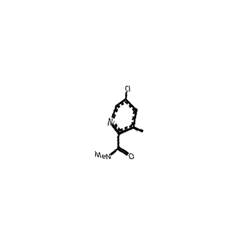 CNC(=O)c1ncc(Cl)cc1C